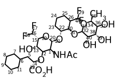 CC(=O)NC1C(O[C@@H](CC2CCCCC2)C(=O)O)[C@H](O)[C@H](C(F)F)O[C@H]1O[C@@H]1CCCC(C(F)F)[C@H]1OC1O[C@@H](C)C(O)[C@H](O)[C@@H]1O